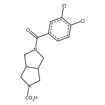 O=C(O)N1CC2CN(C(=O)c3ccc(Cl)c(Cl)c3)CC2C1